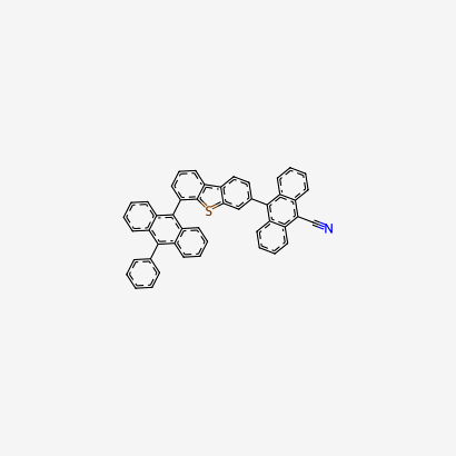 N#Cc1c2ccccc2c(-c2ccc3c(c2)sc2c(-c4c5ccccc5c(-c5ccccc5)c5ccccc45)cccc23)c2ccccc12